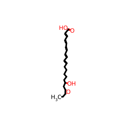 CCC1OC1CC(O)CCCCCC=CC=CC=CC=CC=CC(=O)O